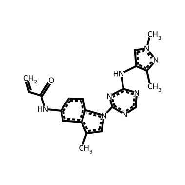 C=CC(=O)Nc1ccc2c(c1)c(C)cn2-c1ncnc(Nc2cn(C)nc2C)n1